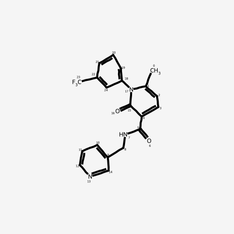 Cc1ccc(C(=O)NCc2cccnc2)c(=O)n1-c1cccc(C(F)(F)F)c1